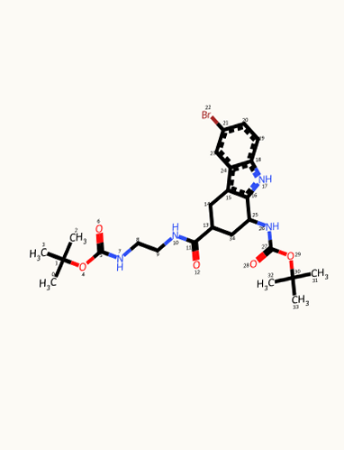 CC(C)(C)OC(=O)NCCNC(=O)C1Cc2c([nH]c3ccc(Br)cc23)C(NC(=O)OC(C)(C)C)C1